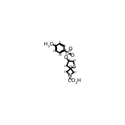 Cc1ccc(S(=O)(=O)OC2CSC3(C2)CN(C(=O)O)C3)cc1